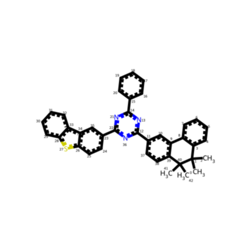 CC1(C)c2ccccc2-c2cc(-c3nc(-c4ccccc4)nc(-c4ccc5sc6ccccc6c5c4)n3)ccc2C1(C)C